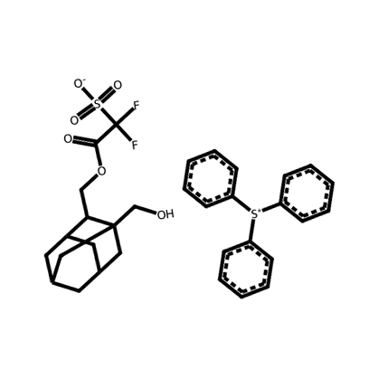 O=C(OCC1C2CC3CC(C2)CC1(CO)C3)C(F)(F)S(=O)(=O)[O-].c1ccc([S+](c2ccccc2)c2ccccc2)cc1